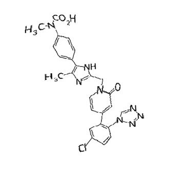 Cc1nc(Cn2ccc(-c3cc(Cl)ccc3-n3cnnn3)cc2=O)[nH]c1-c1ccc(N(C)C(=O)O)cc1